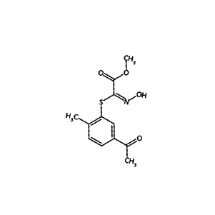 COC(=O)C(=NO)Sc1cc(C(C)=O)ccc1C